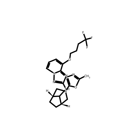 Cc1nnc(N2C[C@H]3CC[C@@H](C2)C3Nc2nc3c(OCCCC(F)(F)F)cccn3n2)o1